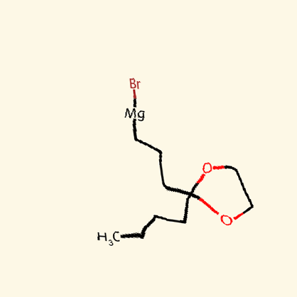 CCCCC1(CC[CH2][Mg][Br])OCCO1